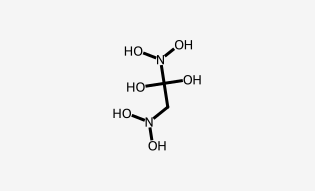 ON(O)CC(O)(O)N(O)O